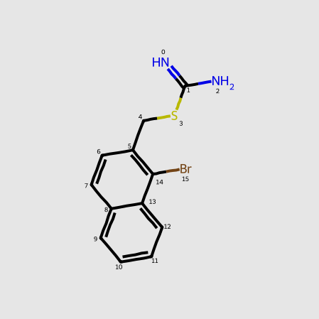 N=C(N)SCc1ccc2ccccc2c1Br